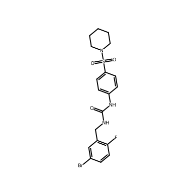 O=C(NCc1cc(Br)ccc1F)Nc1ccc(S(=O)(=O)N2CCCCC2)cc1